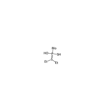 CCS(CC)=[P](O)(S)[Mo]